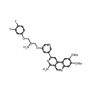 COc1cc2ncc3c(N)nc(-c4cncc(OC[C@@H](N)COc5ccc(F)c(F)c5)c4)cc3c2cc1OC